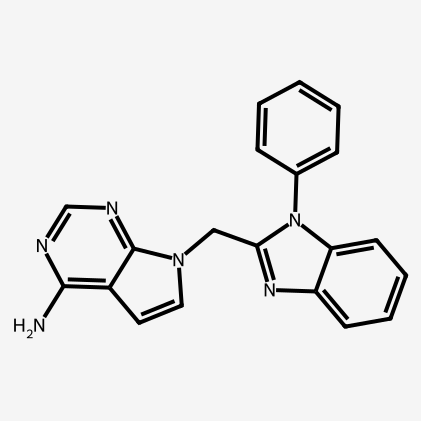 Nc1ncnc2c1ccn2Cc1nc2ccccc2n1-c1ccccc1